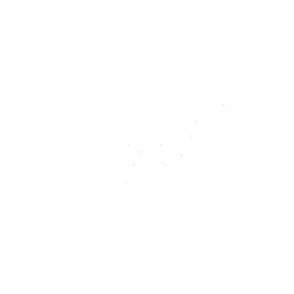 C=CCOC(=O)N1c2cc(OCCCCCC(=O)O)c(OC)cc2C(=O)N2CC=C(c3ccc(S(=O)(=O)N(C)C4CCCCO4)cc3)C[C@H]2C1OC1CCCCO1